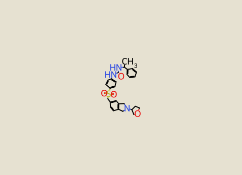 CC(NC(=O)Nc1ccc(S(=O)(=O)Cc2ccc3c(c2)CN(C2CCOC2)C3)cc1)c1ccccc1